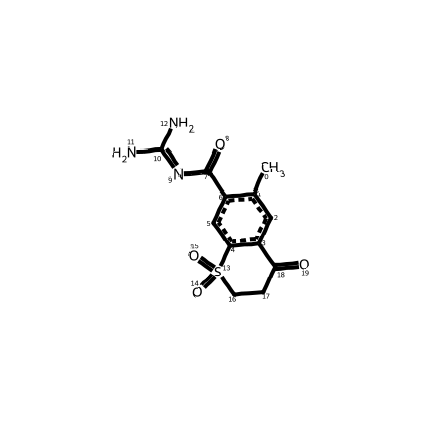 Cc1cc2c(cc1C(=O)N=C(N)N)S(=O)(=O)CCC2=O